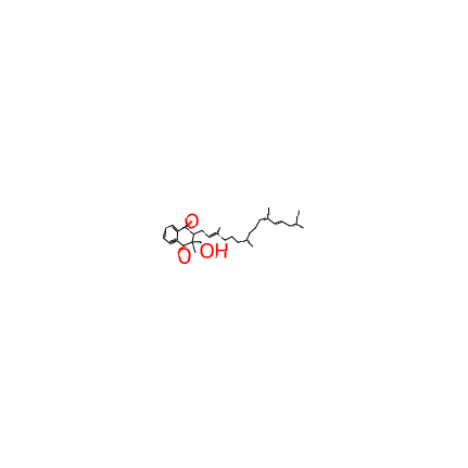 C/C(=C\CC1C(=O)c2ccccc2C(=O)C1(C)CO)CCCC(C)CCCC(C)CCCC(C)C